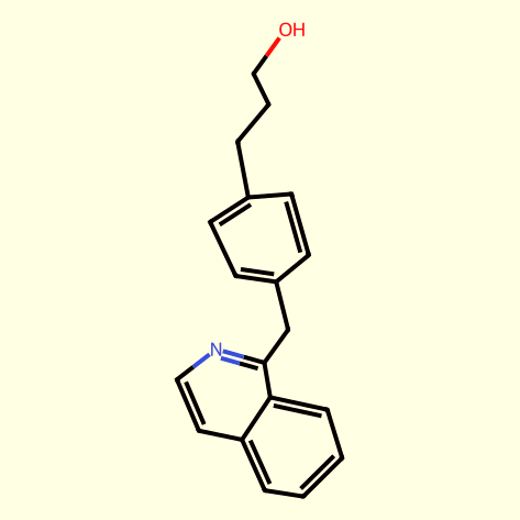 OCCCc1ccc(Cc2nccc3ccccc23)cc1